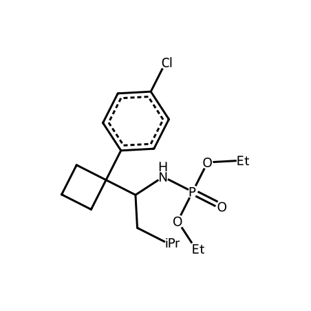 CCOP(=O)(NC(CC(C)C)C1(c2ccc(Cl)cc2)CCC1)OCC